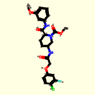 CC(C)(C)OC(=O)N1CC(NC(=O)COc2ccc(Cl)c(F)c2)CC[C@H]1C(=O)Nc1cccc(OC(F)(F)F)c1